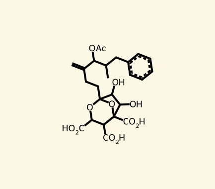 C=C(CCC12OC(C(=O)O)C(C(=O)O)C(C(=O)O)(O1)C(O)C2O)C(OC(C)=O)C(C)Cc1ccccc1